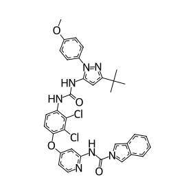 COc1ccc(-n2nc(C(C)(C)C)cc2NC(=O)Nc2ccc(Oc3ccnc(NC(=O)n4cc5ccccc5c4)c3)c(Cl)c2Cl)cc1